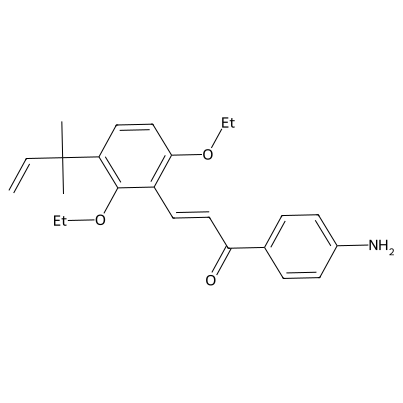 C=CC(C)(C)c1ccc(OCC)c(/C=C/C(=O)c2ccc(N)cc2)c1OCC